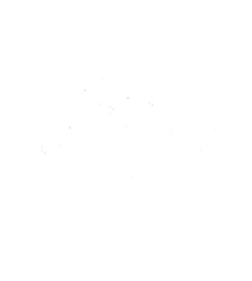 C[C@@H]1CN(Cc2ccc(Cl)cc2)CCN1C(=O)COc1ncc(Cl)cc1CCS(=O)(=O)O